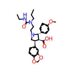 CCCN(CCN1C[C@H](c2ccc3c(c2)OCO3)[C@H](C(=O)O)[C@H]1c1ccc(OC)cc1)C(=O)NCC